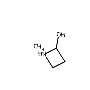 C.OC1CCN1